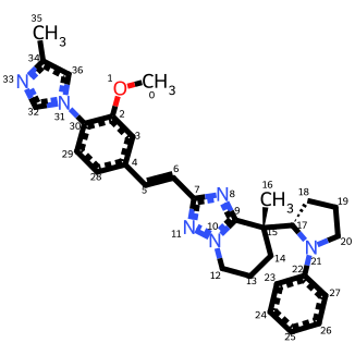 COc1cc(/C=C/c2nc3n(n2)CCC[C@@]3(C)[C@@H]2CCCN2c2ccccc2)ccc1-n1cnc(C)c1